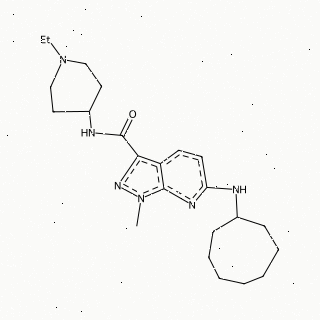 CCN1CCC(NC(=O)c2nn(C)c3nc(NC4CCCCCCC4)ccc23)CC1